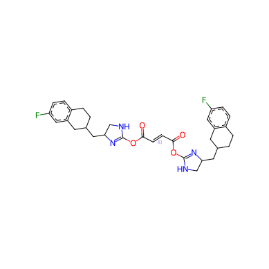 O=C(/C=C/C(=O)OC1=NC(CC2CCc3ccc(F)cc3C2)CN1)OC1=NC(CC2CCc3ccc(F)cc3C2)CN1